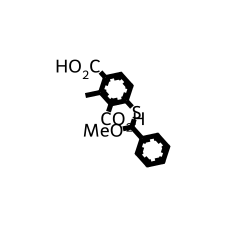 COC(Sc1ccc(C(=O)O)c(C)c1C(=O)O)c1ccccc1